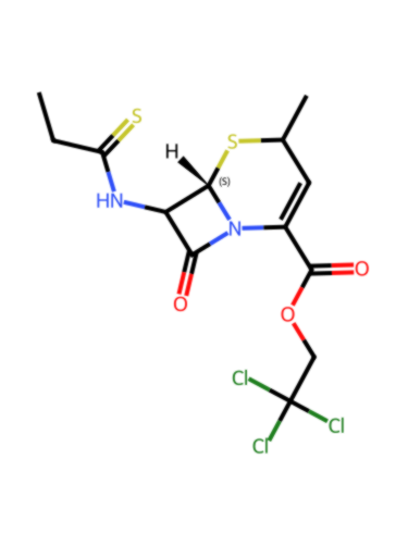 CCC(=S)NC1C(=O)N2C(C(=O)OCC(Cl)(Cl)Cl)=CC(C)S[C@@H]12